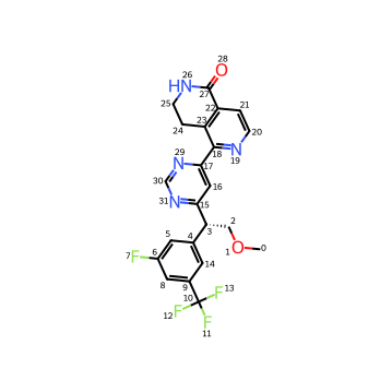 COC[C@H](c1cc(F)cc(C(F)(F)F)c1)c1cc(-c2nccc3c2CCNC3=O)ncn1